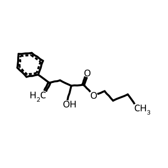 C=C(CC(O)C(=O)OCCCC)c1ccccc1